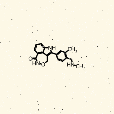 CNCc1ccc(-c2[nH]c3cccc4c3c2CONC4=O)cc1C